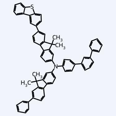 CC1(C)c2cc(-c3ccccc3)ccc2-c2ccc(N(c3ccc(-c4cccc(-c5ccccc5)c4)cc3)c3ccc4c(c3)C(C)(C)c3cc(-c5ccc6sc7ccccc7c6c5)ccc3-4)cc21